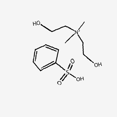 C[N+](C)(CCO)CCO.O=S(=O)(O)c1ccccc1